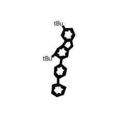 CC(C)(C)c1ccc2c(c1)-c1cc(C(C)(C)C)c(-c3ccc(-c4ccccc4)cc3)cc1C2